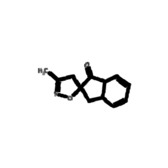 CC1=NOC2(C1)CC1C=CC=CC1C2=O